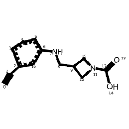 C#Cc1cccc(NCC2CN(C(=O)O)C2)c1